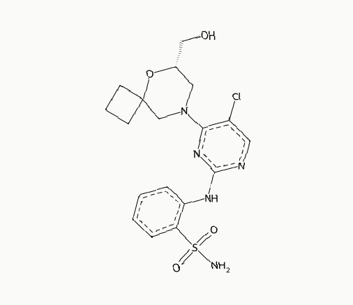 NS(=O)(=O)c1ccccc1Nc1ncc(Cl)c(N2C[C@@H](CO)OC3(CCC3)C2)n1